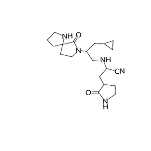 N#CC(CC1CCNC1=O)NCC(CC1CC1)N1CCC2(CCCN2)C1=O